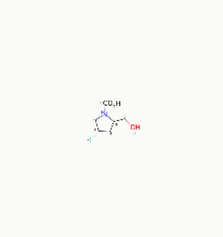 O=C(O)N1C[C@@H](F)CC1CO